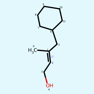 C/C(=C\CO)CC1CCCCC1